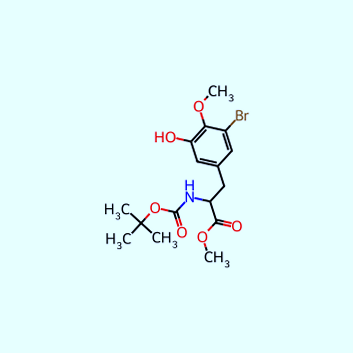 COC(=O)C(Cc1cc(O)c(OC)c(Br)c1)NC(=O)OC(C)(C)C